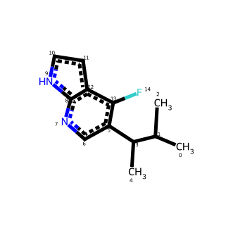 CC(C)C(C)c1cnc2[nH]ccc2c1F